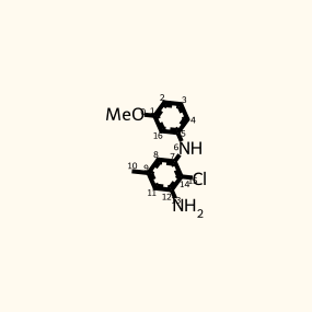 COc1cccc(Nc2cc(C)cc(N)c2Cl)c1